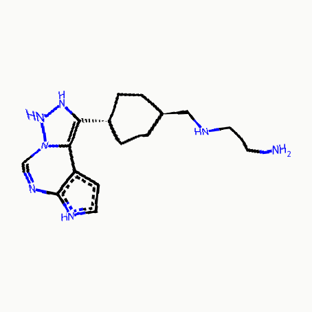 NCCNC[C@H]1CC[C@H](C2=C3c4cc[nH]c4N=CN3NN2)CC1